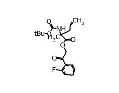 C=CCC(C)(NC(=O)OC(C)(C)C)C(=O)OCC(=O)c1ccccc1F